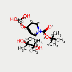 CC(C)(C)OC(=O)N1CC=C(OB(O)O)CC1.CC(C)(O)C(C)(C)O